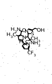 Cc1cc(-c2ccc(C(F)(F)F)cn2)n(C(c2ncc(CO)s2)C(C)(C)N)c1C(N)=O